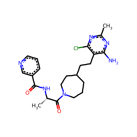 Cc1nc(N)c(CCC2CCCN(C(=O)[C@H](C)NC(=O)c3cccnc3)CC2)c(Cl)n1